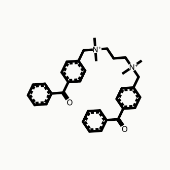 C[N+](C)(CCC[N+](C)(C)Cc1ccc(C(=O)c2ccccc2)cc1)Cc1ccc(C(=O)c2ccccc2)cc1